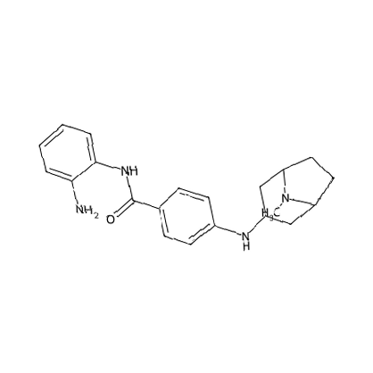 CN1C2CCC1CC(Nc1ccc(C(=O)Nc3ccccc3N)cc1)C2